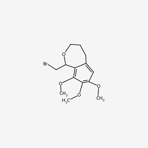 COc1cc2c(c(OC)c1OC)C(CBr)OCCC2